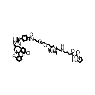 C[C@@H]1CCCN1C(=O)NC(=O)CCCNCCN/C=C(/COCCOCCNC(=O)c1ccc(Nc2ncc3c(n2)-c2ccc(Cl)cc2C(c2c(F)cccc2F)=NC3)cc1)N=N